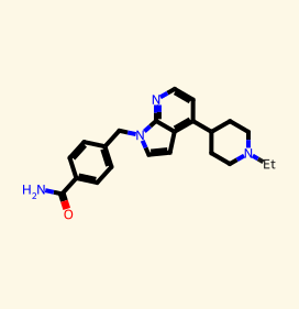 CCN1CCC(c2ccnc3c2ccn3Cc2ccc(C(N)=O)cc2)CC1